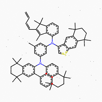 C=C/C=C\C1=C(C)c2c(N(c3cc(C)cc(N(c4ccc5c(c4)C(C)(C)CCC5(C)C)c4cc5c(cc4-c4ccccc4)C(C)(C)CCC5(C)C)c3)c3csc4cc5c(cc34)C(C)(C)CCC5(C)C)cccc2C1(C)C